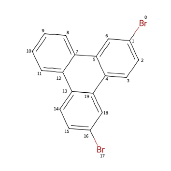 Brc1ccc2c(c1)c1ccccc1c1ccc(Br)cc12